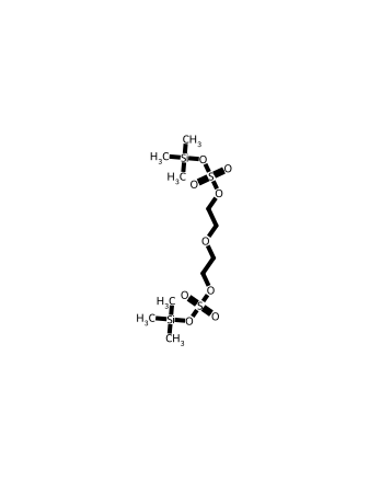 C[Si](C)(C)OS(=O)(=O)OCCOCCOS(=O)(=O)O[Si](C)(C)C